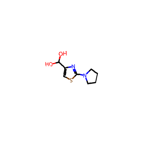 OC(O)c1csc(N2CCCC2)n1